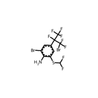 Nc1c(Br)cc(C(F)(C(F)(F)F)C(F)(F)Br)cc1SC(F)F